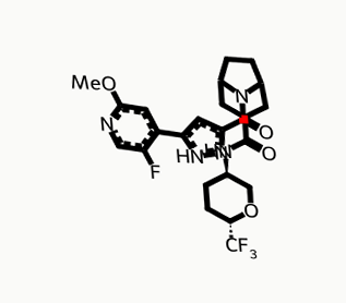 COc1cc(-c2cc(C(=O)N3C4CCC3CC(C(=O)N[C@@H]3CC[C@@H](C(F)(F)F)OC3)C4)n[nH]2)c(F)cn1